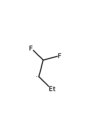 CC[CH]C(F)F